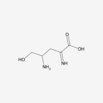 N=C(CC(N)CO)C(=O)O